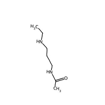 CCNCCCNC(C)=O